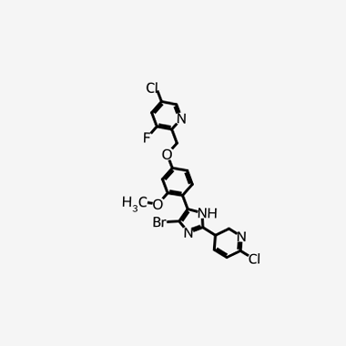 COc1cc(OCc2ncc(Cl)cc2F)ccc1-c1[nH]c(C2C=CC(Cl)=NC2)nc1Br